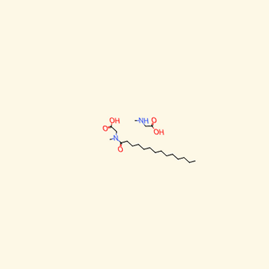 CCCCCCCCCCCCCC(=O)N(C)CC(=O)O.CNCC(=O)O